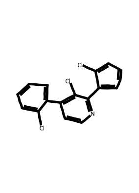 Clc1ccccc1-c1ccnc(-c2ccccc2Cl)c1Cl